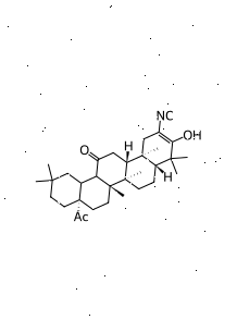 [C-]#[N+]C1=C(O)C(C)(C)[C@@H]2CC[C@]3(C)[C@H](CC(=O)C4C5CC(C)(C)CC[C@]5(C(C)=O)CC[C@]43C)[C@@]2(C)C1